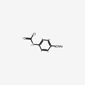 COc1ccc(SC(=O)Cl)cc1